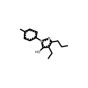 CCCc1nn(-c2ccc(C)cc2)c(O)c1CC